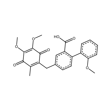 COC1=C(OC)C(=O)C(Cc2ccc(-c3ccccc3OC)c(C(=O)O)c2)=C(C)C1=O